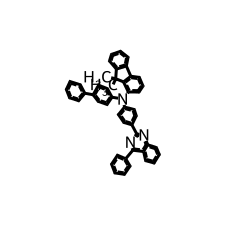 CC1(C)c2ccccc2-c2cccc(N(c3ccc(-c4ccccc4)cc3)c3ccc(-c4nc(-c5ccccc5)c5ccccc5n4)cc3)c21